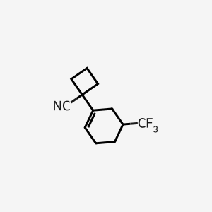 N#CC1(C2=CCCC(C(F)(F)F)C2)CCC1